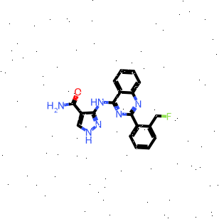 NC(=O)c1c[nH]nc1Nc1nc(-c2ccccc2CF)nc2ccccc12